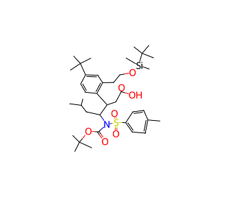 Cc1ccc(S(=O)(=O)N(C(=O)OC(C)(C)C)C(CC(C)C)C(CC(=O)O)c2ccc(C(C)(C)C)cc2CCO[Si](C)(C)C(C)(C)C)cc1